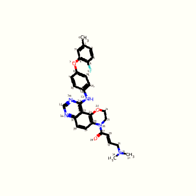 Cc1ccc(F)c(Oc2ccc(Nc3ncnc4ccc5c(c34)OCCN5C(=O)/C=C/CN(C)C)cc2)c1